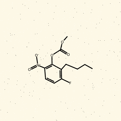 CCCCc1c(F)ccc([N+](=O)[O-])c1OC(=O)OC